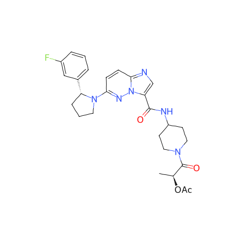 CC(=O)O[C@@H](C)C(=O)N1CCC(NC(=O)c2cnc3ccc(N4CCC[C@@H]4c4cccc(F)c4)nn23)CC1